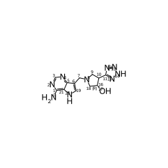 Nc1ncnc2c(CN3CC(c4nn[nH]n4)[C@@H](O)C3)c[nH]c12